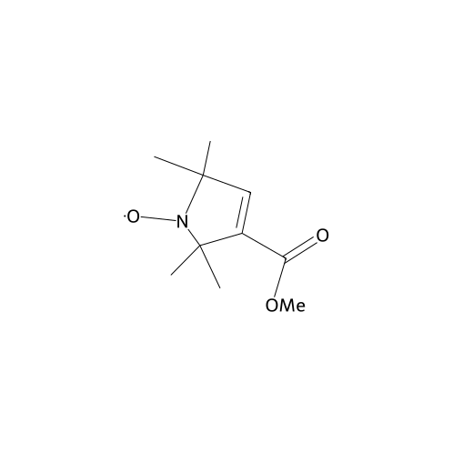 COC(=O)C1=CC(C)(C)N([O])C1(C)C